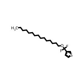 CCCCCCCCCCCCCCCOC(F)(F)c1ccsc1